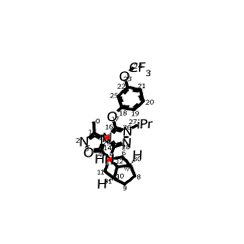 Cc1noc(N2C[C@H]3CC[C@@H](C2)C3Nc2nc(Oc3cccc(OC(F)(F)F)c3)n(C(C)C)n2)n1